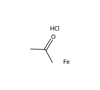 CC(C)=O.Cl.[Fe]